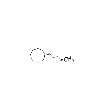 C=CCCC=C1CCCCCCCC1